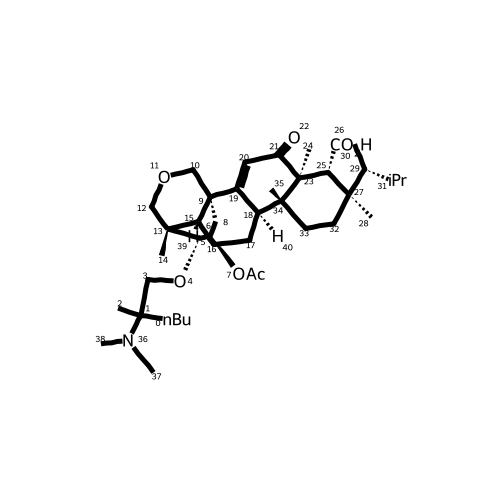 CCCCC(C)(CO[C@H]1[C@H](OC(C)=O)C[C@@]23COC[C@]1(C)[C@@H]2CC[C@H]1C3=CC(=O)[C@@]2(C)[C@H](C(=O)O)[C@@](C)([C@H](C)C(C)C)CC[C@]12C)N(C)C